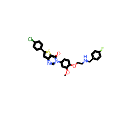 COc1cc(-n2cnc3cc(-c4ccc(Cl)cc4)sc3c2=O)ccc1OCCNCc1ccc(F)cc1